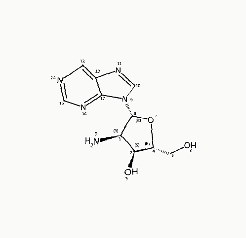 N[C@@H]1[C@H](O)[C@@H](CO)O[C@H]1n1cnc2cncnc21